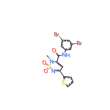 CN1C(C(=O)Nc2cc(Br)cc(Br)c2)=CC(c2cccs2)=NS1(=O)=O